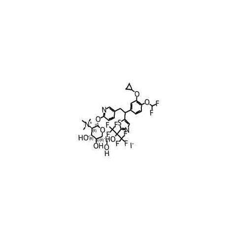 C[N+](C)(C)[C@H]1[C@H](Oc2ccc(CC(c3ccc(OC(F)F)c(OC4CC4)c3)c3cnc(C(O)(C(F)(F)F)C(F)(F)F)s3)cn2)O[C@H](CO)[C@@H](O)[C@@H]1O.[I-]